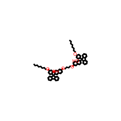 CCCCCCCCOc1ccc(C2(c3ccc4cc(OCCCCOc5ccc6cc(C7(c8ccc(OCCCCCCCC)cc8O)c8ccccc8-c8ccccc87)ccc6c5)ccc4c3)c3ccccc3-c3ccccc32)c(O)c1